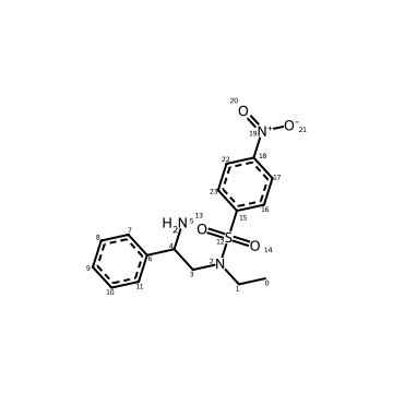 CCN(CC(N)c1ccccc1)S(=O)(=O)c1ccc([N+](=O)[O-])cc1